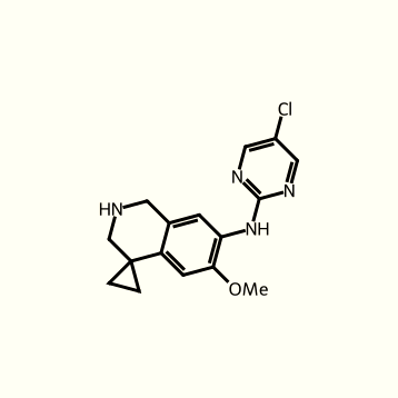 COc1cc2c(cc1Nc1ncc(Cl)cn1)CNCC21CC1